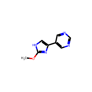 COc1nc(-c2cncnc2)c[nH]1